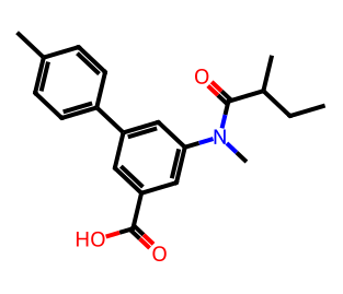 CCC(C)C(=O)N(C)c1cc(C(=O)O)cc(-c2ccc(C)cc2)c1